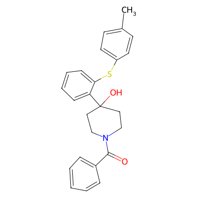 Cc1ccc(Sc2ccccc2C2(O)CCN(C(=O)c3ccccc3)CC2)cc1